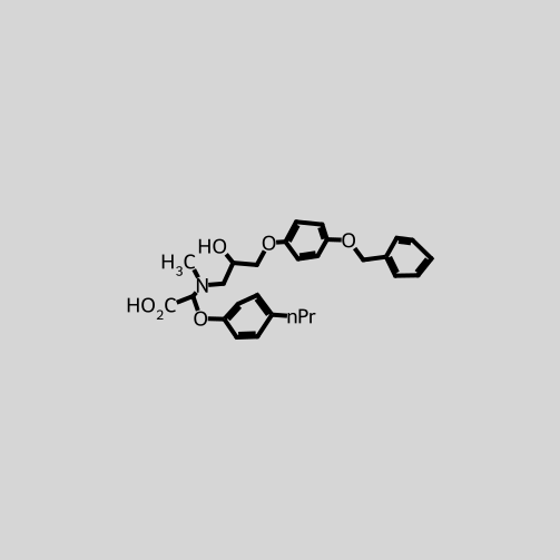 CCCc1ccc(OC(C(=O)O)N(C)CC(O)COc2ccc(OCc3ccccc3)cc2)cc1